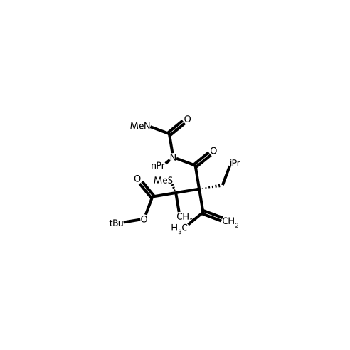 C=C(C)[C@](CC(C)C)(C(=O)N(CCC)C(=O)NC)[C@](C)(SC)C(=O)OC(C)(C)C